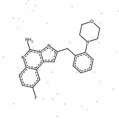 Nc1nc2ccc(F)cc2c2cc(Cc3ccccc3N3CCOCC3)nn12